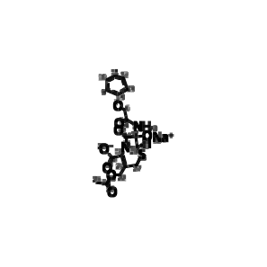 COC1(NC(=O)COc2ccccc2)C(=O)N2C(C(=O)[O-])=C(COC(C)=O)CS[C@H]21.[Na+]